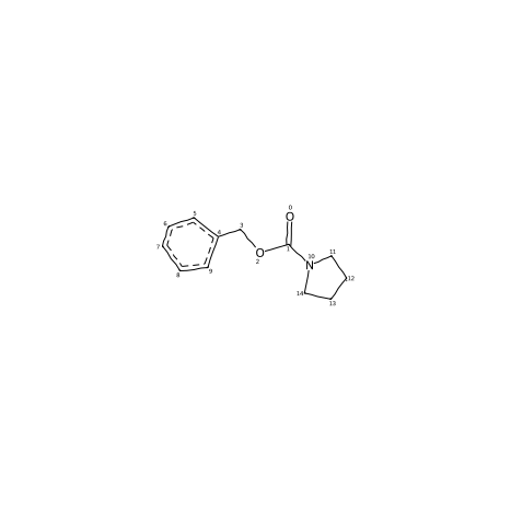 O=C(OCc1ccccc1)N1C[CH]CC1